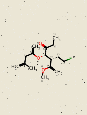 C=C(C)CC(=C)O[C@H](C(=O)CC)[C@H](CCF)C(=C)OC